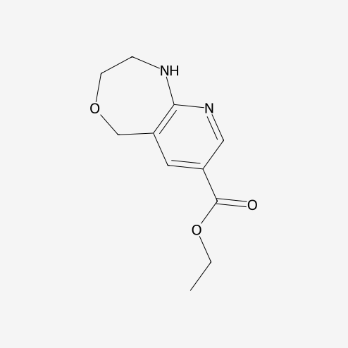 CCOC(=O)c1cnc2c(c1)COCCN2